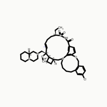 CC[C@@H]1CC/C=C/[C@@](CN2CCN3CCCC[C@@H]3C2)(OC)[C@@H]2CC[C@H]2CN2CCCCc3cc(Cl)ccc3COc3ccc(cc32)C(=O)NS1(=O)=O